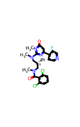 CC(C)[C@H](CN(C)C(=O)c1c(Cl)cccc1Cl)CN(C)c1nc(-c2ccncc2F)cc(=O)n1C